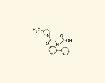 CC1CCN(C(=O)CN(CC(=O)O)c2ccccc2-c2ccccc2)C1